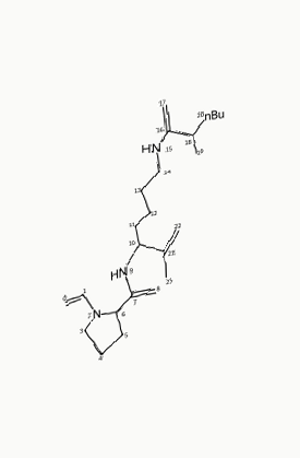 C=CN1CCCC1C(=C)NC(CCCCNC(=C)C(C)CCCC)C(=C)C